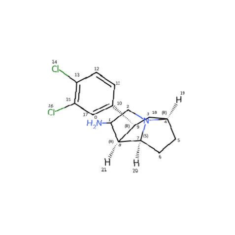 NC1CN2[C@@H]3CC[C@H]2[C@@H]1[C@H](c1ccc(Cl)c(Cl)c1)C3